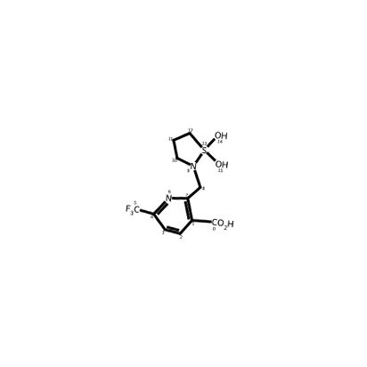 O=C(O)c1ccc(C(F)(F)F)nc1CN1CCCS1(O)O